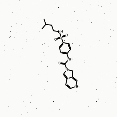 CC(C)CCNS(=O)(=O)c1ccc(NC(=O)N2C=C3C=CNC=C3C2)cc1